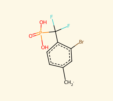 [CH2]c1ccc(C(F)(F)P(=O)(O)O)c(Br)c1